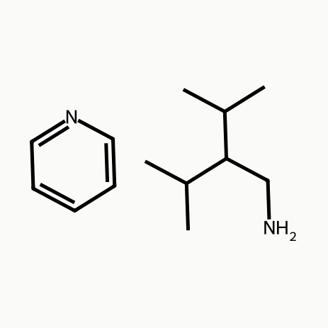 CC(C)C(CN)C(C)C.c1ccncc1